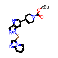 CC(C)(C)OC(=O)N1CC=C(c2cnc3cnn(Sc4cnc5ccccn45)c3c2)CC1